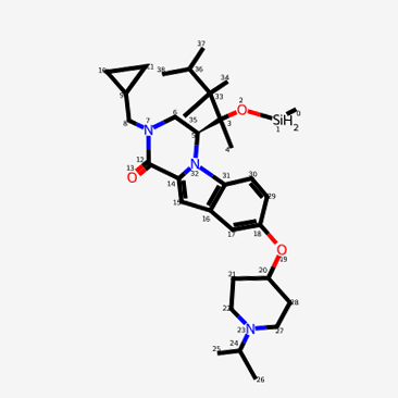 C[SiH2]OC(C)([C@@H]1CN(CC2CC2)C(=O)c2cc3cc(OC4CCN(C(C)C)CC4)ccc3n21)C(C)(C)C(C)C